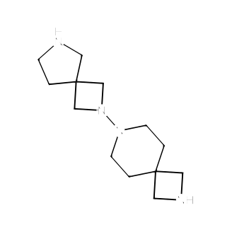 C1CC2(CN1)CN(N1CCC3(CC1)CNC3)C2